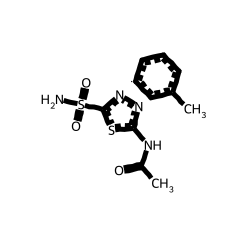 CC(=O)Nc1nnc(S(N)(=O)=O)s1.Cc1c[c]ccc1